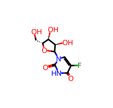 O=c1[nH]c(=O)n(C2O[C@H](CO)[C@@H](O)[C@H]2O)cc1F